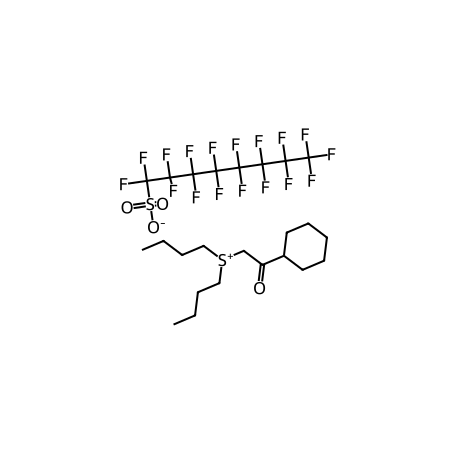 CCCC[S+](CCCC)CC(=O)C1CCCCC1.O=S(=O)([O-])C(F)(F)C(F)(F)C(F)(F)C(F)(F)C(F)(F)C(F)(F)C(F)(F)C(F)(F)F